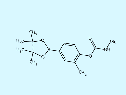 Cc1cc(B2OC(C)(C)C(C)(C)O2)ccc1OC(=O)NC(C)(C)C